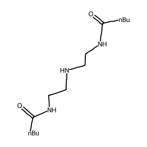 CCCCC(=O)NCCNCCNC(=O)CCCC